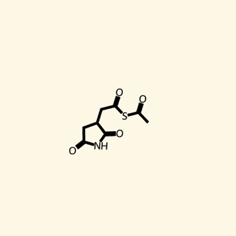 CC(=O)SC(=O)CC1CC(=O)NC1=O